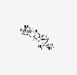 CC(C)(O)[C@H]1CC[C@@](C)([C@H]2CC[C@@]3(C)[C@@H]2CC[C@@H]2[C@@]4(C)CC[C@@H](O)C(C)(C)C4CC[C@]23C)O1